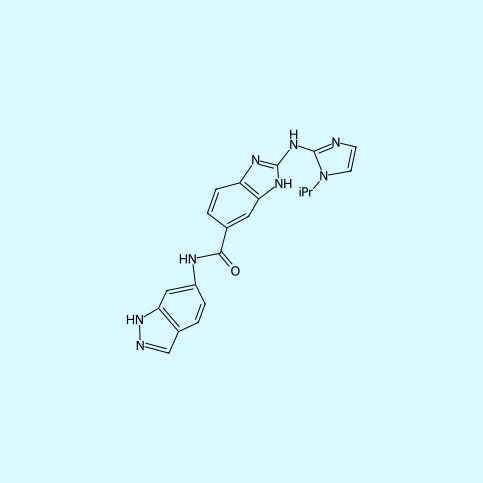 CC(C)n1ccnc1Nc1nc2ccc(C(=O)Nc3ccc4cn[nH]c4c3)cc2[nH]1